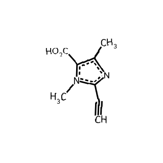 C#Cc1nc(C)c(C(=O)O)n1C